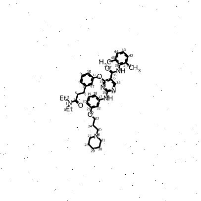 CCN(CC)C(=O)CCc1cccc(Oc2nc(Nc3cccc(OCCCN4CCCCC4)c3)ncc2C(=O)Nc2c(C)cccc2C)c1